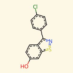 Oc1ccc2c(-c3ccc(Cl)cc3)nsc2c1